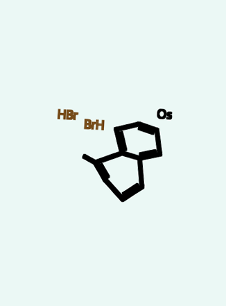 Br.Br.Cc1cccc2ccccc12.[Os]